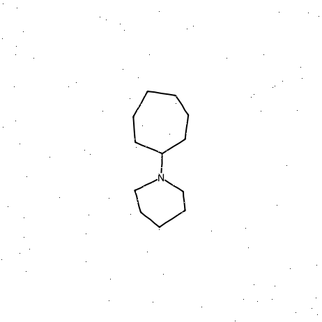 [CH]1CCN(C2CCCCCC2)CC1